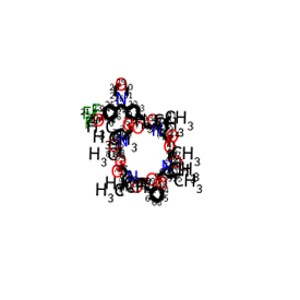 CC(C)C[C@H]1C(=O)O[C@H](Cc2ccc([C@@H](c3ccc(OC(F)(F)F)cc3)N3CCOCC3)cc2)C(=O)N(C)[C@@H](CC(C)C)C(=O)O[C@H](C)C(=O)N(C)[C@@H](CC(C)C)C(=O)O[C@H](Cc2ccccc2)C(=O)N(C)[C@@H](CC(C)C)C(=O)O[C@@H](C)C(=O)N1C